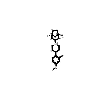 COc1ccc(C2CCN(C3C[C@H]4CC[C@H](C3)C4)CC2)c(C)c1